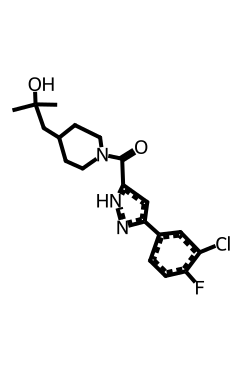 CC(C)(O)CC1CCN(C(=O)c2cc(-c3ccc(F)c(Cl)c3)n[nH]2)CC1